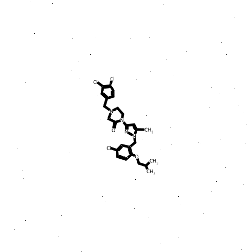 Cc1cc(N2CCN(Cc3ccc(Cl)c(Cl)c3)CC2=O)nn1Cc1cc(Cl)ccc1OCC(C)C